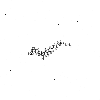 NCCn1ccc(-c2ccc(-c3ccc(-c4c(F)cc5[nH]c(Oc6ccc(Cl)c(C(=O)O)c6)nc5c4F)cc3)cc2)n1